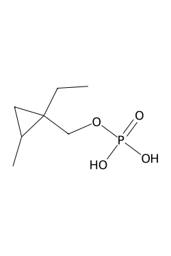 CCC1(COP(=O)(O)O)CC1C